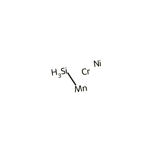 [Cr].[Ni].[SiH3][Mn]